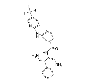 N/C=C(\C(=C/N)NC(=O)c1ccnc(Nc2ccc(C(F)(F)F)cn2)c1)c1ccccc1